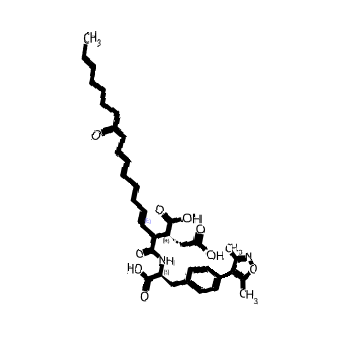 CCCCCCCC(=O)CCCCCC/C=C/C(C(=O)N[C@@H](Cc1ccc(-c2c(C)noc2C)cc1)C(=O)O)[C@@H](CC(=O)O)C(=O)O